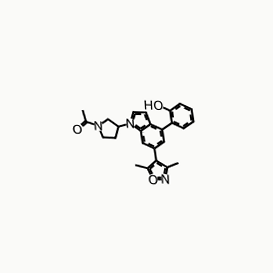 CC(=O)N1CCC(n2ccc3c(-c4ccccc4O)cc(-c4c(C)noc4C)cc32)C1